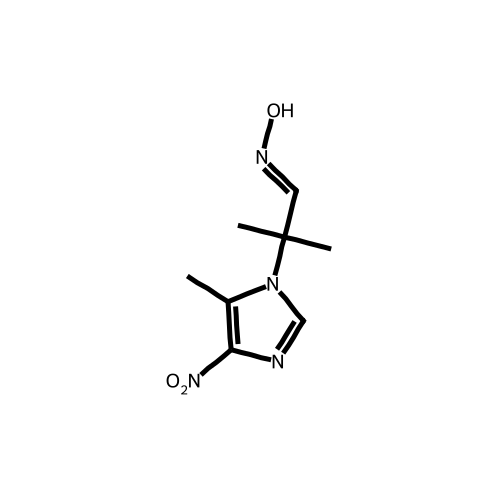 Cc1c([N+](=O)[O-])ncn1C(C)(C)/C=N/O